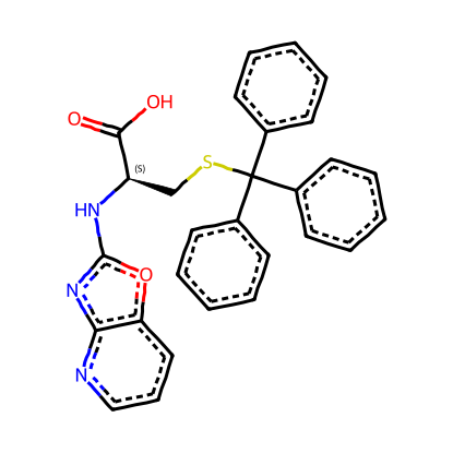 O=C(O)[C@@H](CSC(c1ccccc1)(c1ccccc1)c1ccccc1)Nc1nc2ncccc2o1